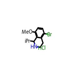 COc1ccc(Br)c2c1C(C(C)C)NCC2.Cl